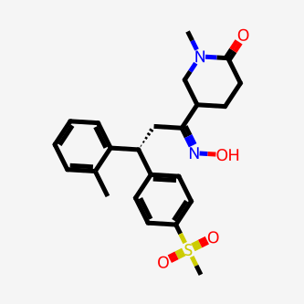 Cc1ccccc1[C@H](CC(=NO)C1CCC(=O)N(C)C1)c1ccc(S(C)(=O)=O)cc1